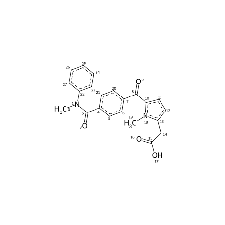 CN(C(=O)c1ccc(C(=O)c2ccc(CC(=O)O)n2C)cc1)c1ccccc1